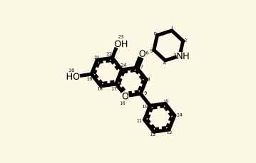 C1CCNCC1.O=c1cc(-c2ccccc2)oc2cc(O)cc(O)c12